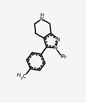 Cc1ccc(-c2c3c(nn2C(C)C)CNCC3)cc1